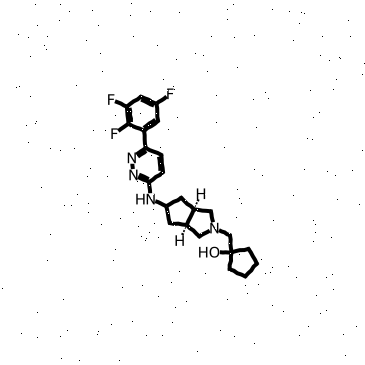 OC1(CN2C[C@H]3CC(Nc4ccc(-c5cc(F)cc(F)c5F)nn4)C[C@H]3C2)CCCC1